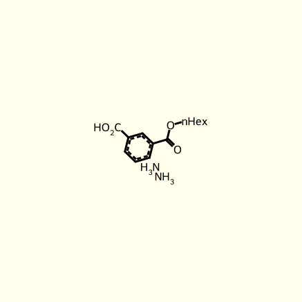 CCCCCCOC(=O)c1cccc(C(=O)O)c1.N.N